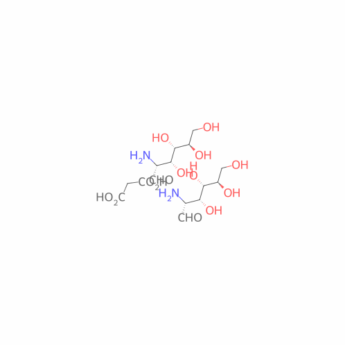 N[C@@H](C=O)[C@@H](O)[C@H](O)[C@H](O)CO.N[C@@H](C=O)[C@@H](O)[C@H](O)[C@H](O)CO.O=C(O)CC(=O)O